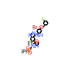 CCC(NCCS(=O)(=O)C(C)C)C1(c2cc3c(Nc4ccc(OCc5cccc(F)c5)c(Br)c4)ncnc3cc2F)CC=CO1